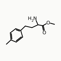 COC(=O)C(N)CCc1ccc(C)cc1